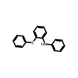 c1ccc(Nc2ccccc2Sc2ccccc2)cc1